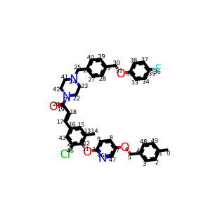 Cc1ccc(COc2ccc(Oc3c(C)cc(C=CC(=O)N4CCN(Cc5ccc(COc6ccc(F)cc6)cc5)CC4)cc3Cl)nc2)cc1